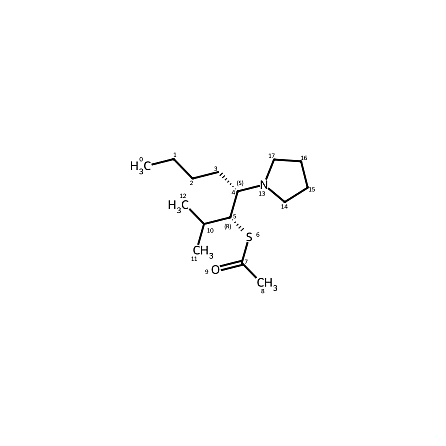 CCCC[C@@H]([C@H](SC(C)=O)C(C)C)N1CCCC1